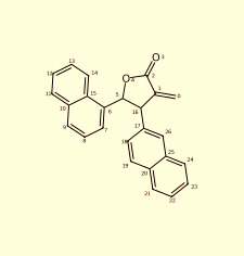 C=C1C(=O)OC(c2cccc3ccccc23)C1c1ccc2ccccc2c1